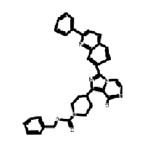 O=C(OCc1ccccc1)N1CCC(c2nc(-c3ccc4ccc(-c5ccccc5)nc4c3)n3ccnc(Cl)c23)CC1